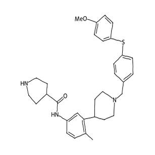 COc1ccc(Sc2ccc(CN3CCC(c4cc(NC(=O)C5CCNCC5)ccc4C)CC3)cc2)cc1